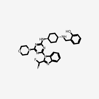 Oc1ccccc1CN[C@H]1CC[C@H](Nc2nc(N3CCOCC3)nc(-n3c(C(F)F)nc4ccccc43)n2)CC1